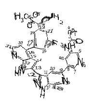 CCCC(=O)Nc1cncc(-c2cc3c(-c4cc5c(-c6cc(F)cc(C(N)S(C)(=O)=O)c6)ccnc5[nH]4)n[nH]c3cn2)c1